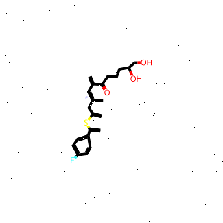 C=C(C/C(C)=C/C(=C)C(=O)CCCC(O)CO)SC(=C)c1ccc(F)cc1